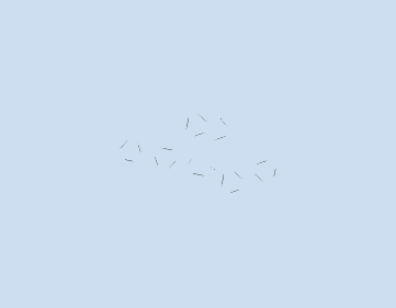 CN1C(=CC(=O)c2ccc(-c3ccccc3)cc2)Sc2ccc(-c3ccccc3)cc21.c1ccc2ncccc2c1